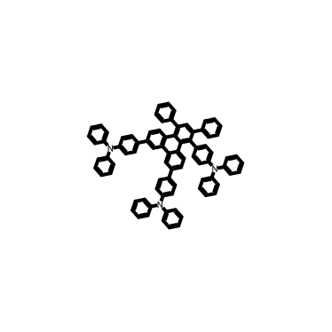 c1ccc(-c2cc(-c3ccccc3)c3c4ccc(-c5ccc(N(c6ccccc6)c6ccccc6)cc5)cc4c4cc(-c5ccc(N(c6ccccc6)c6ccccc6)cc5)ccc4c3c2-c2ccc(N(c3ccccc3)c3ccccc3)cc2)cc1